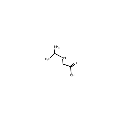 NC(N)NCC(=O)O